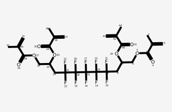 C=C(C)C(=O)OCC(CC(F)(F)C(F)(F)C(F)(F)C(F)(F)C(F)(F)CC(COC(=O)C(=C)C)OC(=O)C(=C)C)OC(=O)C(=C)C